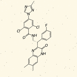 Cc1ncn(-c2cc(Cl)c(C(=O)NC[C@H](c3cccc(F)c3)c3nc4cc(C)c(C)cc4[nH]c3=O)c(Cl)c2)n1